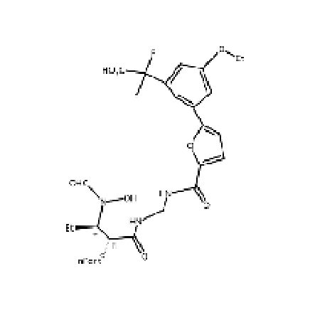 CCCCC[C@@H](C(=O)NCNC(=O)c1ccc(-c2cc(OCC)cc(C(F)(F)C(=O)O)c2)o1)[C@@H](CC)N(O)C=O